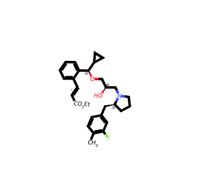 CCOC(=O)/C=C/c1ccccc1[C@H](OC[C@H](O)CN1CCC[C@H]1Cc1ccc(C)c(F)c1)C1CC1